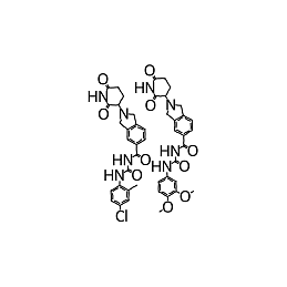 COc1ccc(NC(=O)NC(=O)c2ccc3c(c2)CN(C2CCC(=O)NC2=O)C3)cc1OC.Cc1cc(Cl)ccc1NC(=O)NC(=O)c1ccc2c(c1)CN(C1CCC(=O)NC1=O)C2